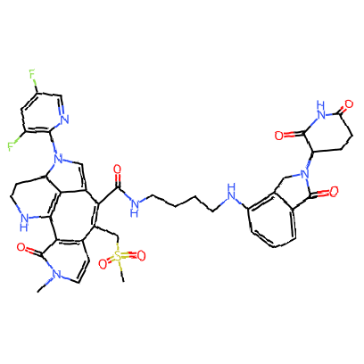 Cn1ccc2c(c1=O)C1=C3C(=CN(c4ncc(F)cc4F)C3CCN1)C(C(=O)NCCCCNc1cccc3c1CN(C1CCC(=O)NC1=O)C3=O)=C2CS(C)(=O)=O